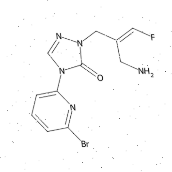 NC/C(=C\F)Cn1ncn(-c2cccc(Br)n2)c1=O